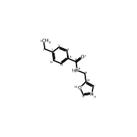 CCc1ccc(C(=O)NCc2cnco2)cc1